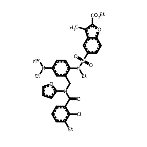 CCCN(CC)c1ccc(N(CC)S(=O)(=O)c2ccc3oc(C(=O)OCC)c(C)c3c2)c(CN(C(=O)c2cccc(CC)c2Cl)c2ccco2)c1